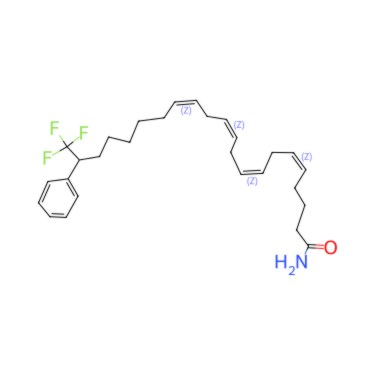 NC(=O)CCC/C=C\C/C=C\C/C=C\C/C=C\CCCCCC(c1ccccc1)C(F)(F)F